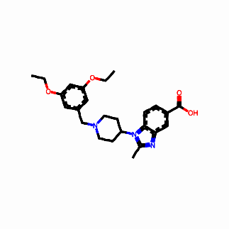 CCOc1cc(CN2CCC(n3c(C)nc4cc(C(=O)O)ccc43)CC2)cc(OCC)c1